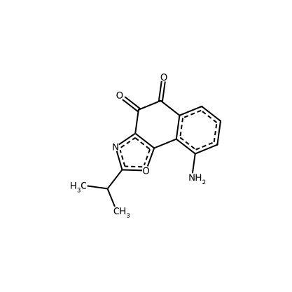 CC(C)c1nc2c(o1)-c1c(N)cccc1C(=O)C2=O